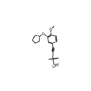 COc1ccc(C#CC(C)(C)O)cc1OC1CCCC1